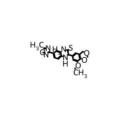 CCOc1cc(C(Nc2ccc(-c3noc(C)n3)cc2)C(N)=S)cc2c1OCOC2